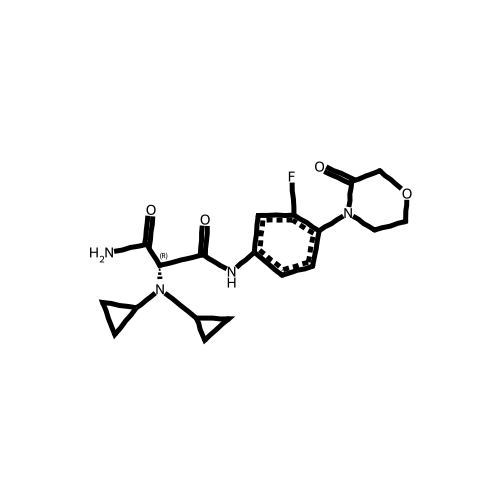 NC(=O)[C@H](C(=O)Nc1ccc(N2CCOCC2=O)c(F)c1)N(C1CC1)C1CC1